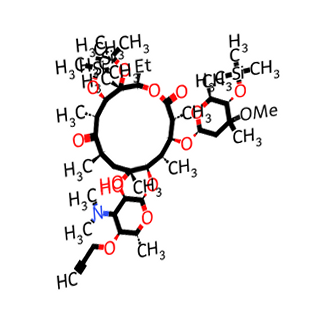 C#CCO[C@H]1C(N(C)C)[C@@H](O)[C@H](O[C@@H]2[C@@H](C)[C@H](O[C@H]3CC(C)(OC)[C@@H](O[Si](C)(C)C)[C@H](C)O3)[C@@H](C)C(=O)O[C@H](CC)[C@@](C)(O[Si](C)(C)C)[C@H](O[Si](C)(C)C)[C@@H](C)C(=O)[C@H](C)C[C@@]2(C)O)O[C@@H]1C